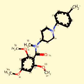 [CH2]c1ccc(N2CCC(N(C)C(=O)c3c(OC)cc(OC)cc3OC)CC2)cc1